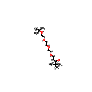 CC(C)(C)OCCOCCOCCOCCC(=O)C(C)(C)C